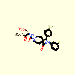 COC(=O)[C@H](CO)NC(=O)N1CCC2(CC1)C(=O)N(c1cccc(F)c1)C2c1ccc(Cl)cc1